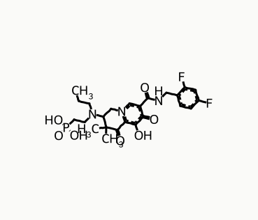 CCCN(CCP(=O)(O)O)C1Cn2cc(C(=O)NCc3ccc(F)cc3F)c(=O)c(O)c2C(=O)C1(C)C